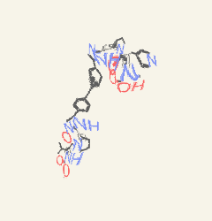 COC(=O)N[C@H](C(=O)N1CCC[C@H]1c1ncc(-c2ccc(-c3ccc(-c4cnc([C@@H]5CCCN5C(=O)[C@H](Cc5ccncc5)N(C)C(=O)O)[nH]4)cc3)cc2)[nH]1)C(C)C